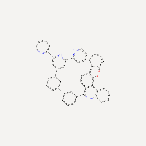 c1ccc(-c2cc(-c3cccc(-c4cccc(-c5nc6ccccc6c6c5ccc5c7ccccc7oc56)c4)c3)cc(-c3ccccn3)n2)nc1